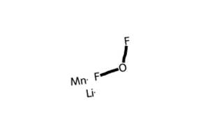 FOF.[Li].[Mn]